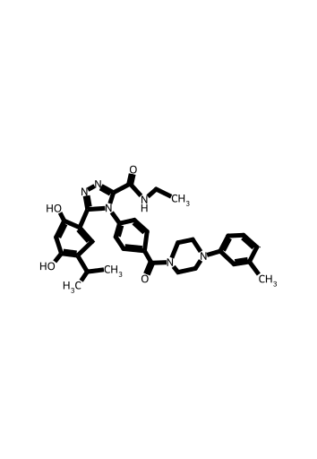 CCNC(=O)c1nnc(-c2cc(C(C)C)c(O)cc2O)n1-c1ccc(C(=O)N2CCN(c3cc[c]c(C)c3)CC2)cc1